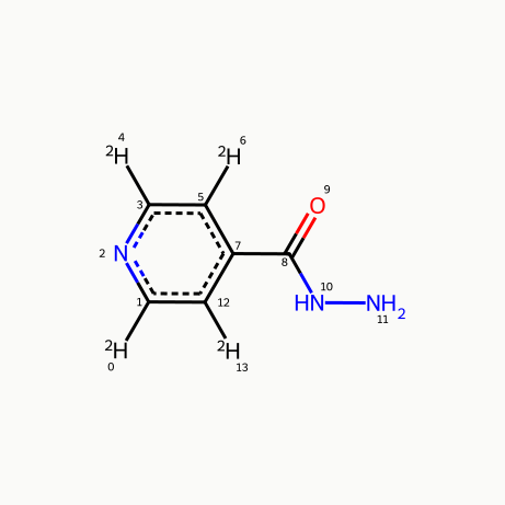 [2H]c1nc([2H])c([2H])c(C(=O)NN)c1[2H]